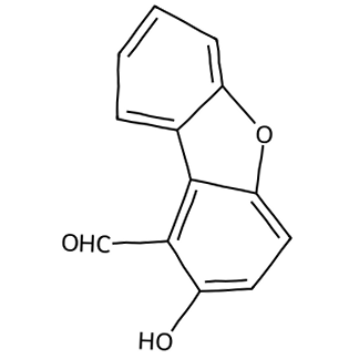 O=Cc1c(O)ccc2oc3ccccc3c12